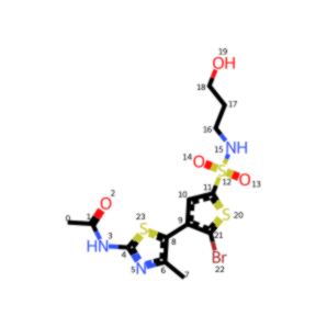 CC(=O)Nc1nc(C)c(-c2cc(S(=O)(=O)NCCCO)sc2Br)s1